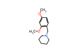 COc1ccc(CN2CCCCC2)c(OC)c1